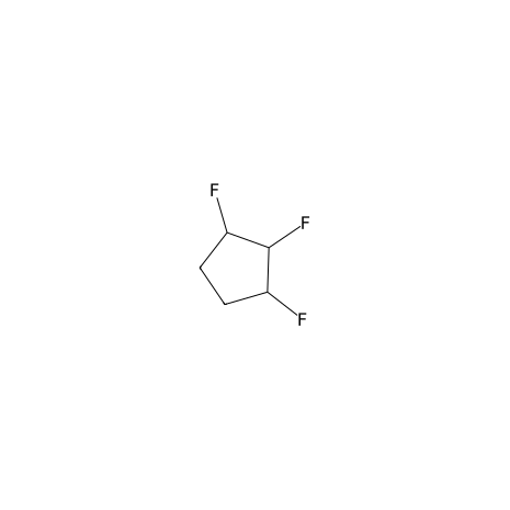 FC1CCC(F)C1F